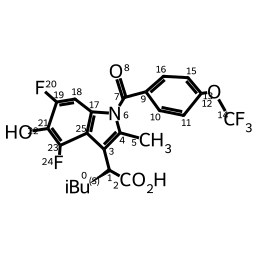 CC[C@H](C)C(C(=O)O)c1c(C)n(C(=O)c2ccc(OC(F)(F)F)cc2)c2cc(F)c(O)c(F)c12